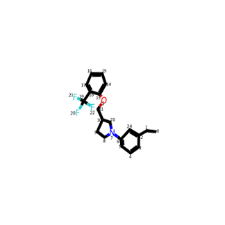 CCc1cccc(N2CCC(COc3ccccc3C(F)(F)F)C2)c1